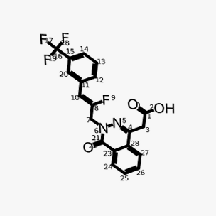 O=C(O)Cc1nn(CC(F)=Cc2cccc(C(F)(F)F)c2)c(=O)c2ccccc12